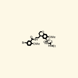 CCNC(=S)NS(=O)(=O)c1cc2c(cc1OC)OCCC2CCNC(=O)c1cc(Br)ccc1OC